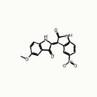 COc1ccc2c(c1)C(=O)/C(=C1/C(=O)Nc3ccc([N+](=O)[O-])cc31)N2